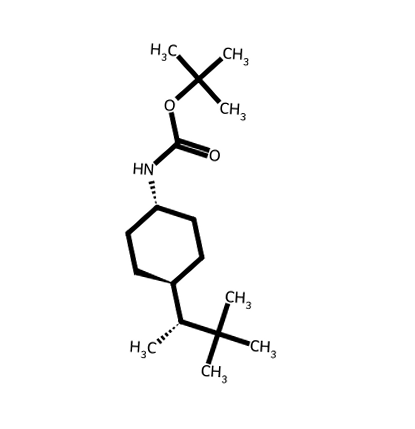 C[C@H]([C@H]1CC[C@H](NC(=O)OC(C)(C)C)CC1)C(C)(C)C